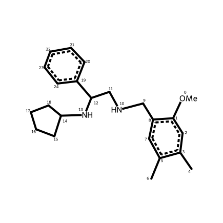 COc1cc(C)c(C)cc1CNCC(NC1CCCC1)c1ccccc1